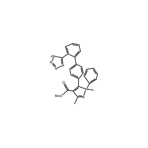 COC(=O)C1=C(c2ccc(-c3ccccc3-c3nnn[nH]3)cc2)[N+](C)(c2ccccc2)N=C1C